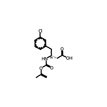 C=C(C)OC(=O)N[C@@H](CC(=O)O)Cc1cccc(Cl)c1